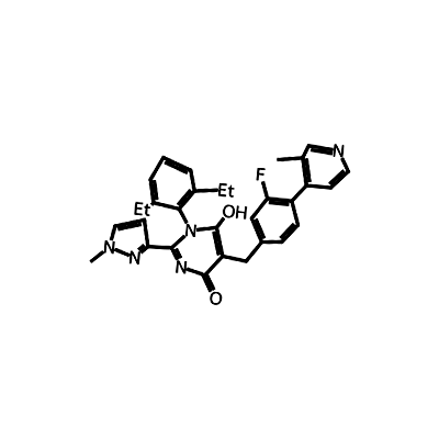 CCc1cccc(CC)c1-n1c(-c2ccn(C)n2)nc(=O)c(Cc2ccc(-c3ccncc3C)c(F)c2)c1O